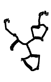 CCOC(=O)C(c1cscn1)c1cc(C)on1